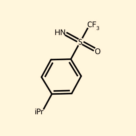 CC(C)c1ccc(S(=N)(=O)C(F)(F)F)cc1